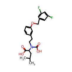 CC(C)CC(C(=O)O)N(CCc1cccc(OCc2cc(F)cc(F)c2)c1)C(=O)O